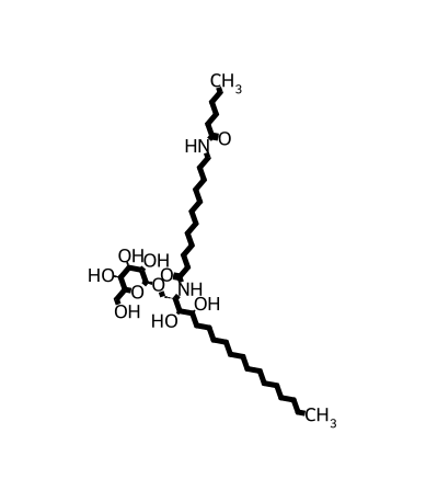 CCCCCCCCCCCCCC[C@@H](O)[C@@H](O)[C@H](CO[C@H]1OC(CO)[C@H](O)[C@H](O)C1O)NC(=O)CCCCCCCCCCCNC(=O)CCCCC